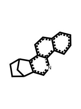 c1ccc2c(c1)ccc1c3c(cnc12)C1CCC3C1